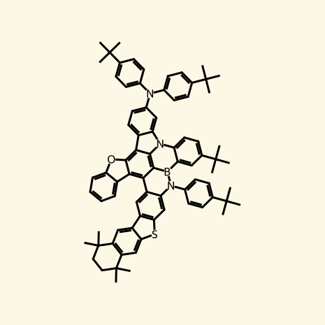 CC(C)(C)c1ccc(N2B3c4cc(C(C)(C)C)ccc4-n4c5cc(N(c6ccc(C(C)(C)C)cc6)c6ccc(C(C)(C)C)cc6)ccc5c5c6oc7ccccc7c6c(c3c54)-c3cc4c(cc32)sc2cc3c(cc24)C(C)(C)CCC3(C)C)cc1